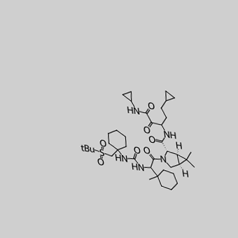 CC1(C(NC(=O)NC2(CS(=O)(=O)C(C)(C)C)CCCCC2)C(=O)N2C[C@H]3[C@@H]([C@H]2C(=O)NC(CCC2CC2)C(=O)C(=O)NC2CC2)C3(C)C)CCCCC1